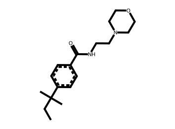 CCC(C)(C)c1ccc(C(=O)NCCN2CCOCC2)cc1